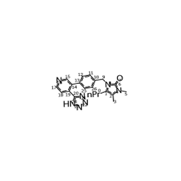 CCCc1c(C)n(C)c(=O)n1Cc1ccc(-c2cnccc2-c2nnn[nH]2)cc1